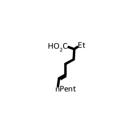 CCCCCC=CCCC(CC)C(=O)O